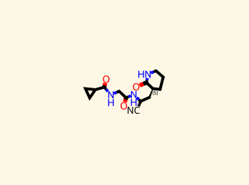 N#CC(C[C@@H]1CCCNC1=O)NC(=O)CNC(=O)C1CC1